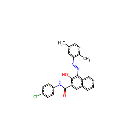 Cc1ccc(C)c(/N=N/c2c(O)c(C(=O)Nc3ccc(Cl)cc3)cc3ccccc23)c1